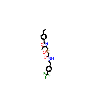 CCc1ccc(-c2nc(C[S+]([O-])CC(=O)NCCc3ccc(C(F)(F)F)cc3)c(C)o2)cc1